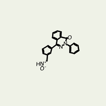 O=c1c2ccccc2c(-c2cccc(C=[NH+][O-])c2)nn1-c1ccccc1